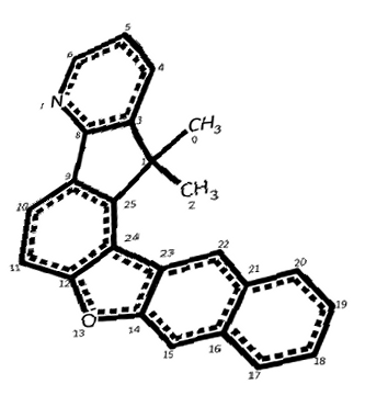 CC1(C)c2cccnc2-c2ccc3oc4cc5ccccc5cc4c3c21